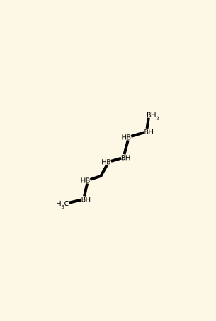 BBBBBCBBC